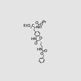 CCOC(=O)[C@H](Cc1ccc2c(c1)NC(=O)[C@@H](CCCNC(=O)OCc1ccccc1)O2)NC(=O)OC(C)C